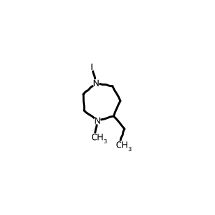 CCC1CCN(I)CCN1C